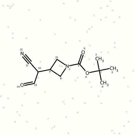 CC(C)(C)OC(=O)N1CC(C(C#N)C=O)C1